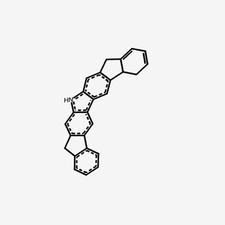 C1=CCC2C(=C1)Cc1cc3[nH]c4cc5c(cc4c3cc12)-c1ccccc1C5